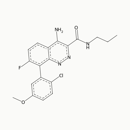 CCCNC(=O)c1nnc2c(-c3cc(OC)ccc3Cl)c(F)ccc2c1N